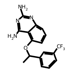 CC(Oc1cccc2nc(N)nc(N)c12)c1cccc(C(F)(F)F)c1